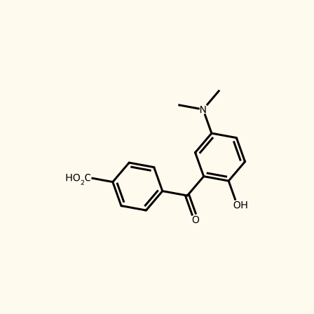 CN(C)c1ccc(O)c(C(=O)c2ccc(C(=O)O)cc2)c1